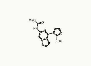 COC(=O)Nc1nc(-c2ccoc2C=O)c2cccn2n1